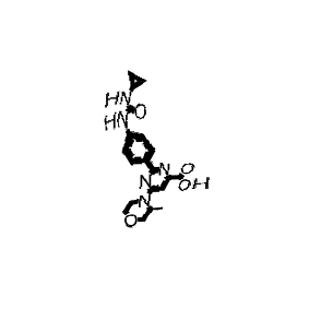 C[C@H]1COCCN1c1cc(C(=O)O)nc(-c2ccc(NC(=O)NC3CC3)cc2)n1